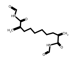 C=C(CCCCCCC(=C)C(=O)NC=O)C(=O)NC=O